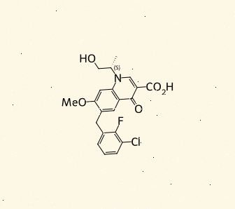 COc1cc2c(cc1Cc1cccc(Cl)c1F)c(=O)c(C(=O)O)cn2[C@@H](C)CO